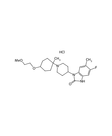 COCCOC1CCC(C)(N2CCC(n3c(=O)[nH]c4cc(F)c(C)cc43)CC2)CC1.Cl